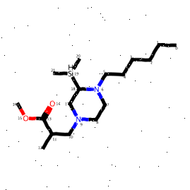 CCCCCCN1CCN(CC(C)C(=O)OC)CC1[SiH](C)C